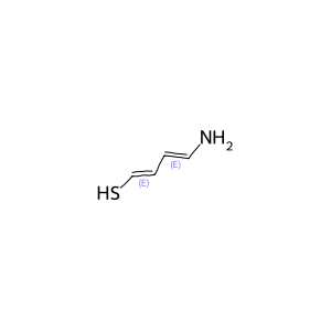 N/C=C/C=C/S